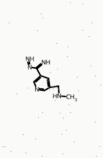 CNCc1cncc(C(=N)N=N)c1